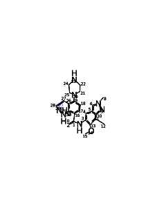 C=C(Nc1cc2cn(C)nc2c(C)c1OC)c1ccc(N2CCNCC2)c(/C=C\N)c1N